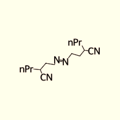 CCCC(C#N)CCN=NCCC(C#N)CCC